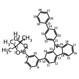 CC1(C)OB(c2cccc(-c3ccc4c5ccccc5n(-c5ccc(-c6ccccc6)cc5)c4c3)c2)OC1(C)C